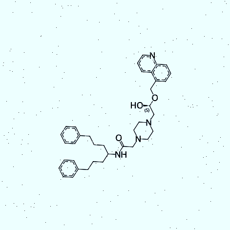 O=C(CN1CCN(C[C@@H](O)OCc2cccc3ncccc23)CC1)NC(CCCc1ccccc1)CCCc1ccccc1